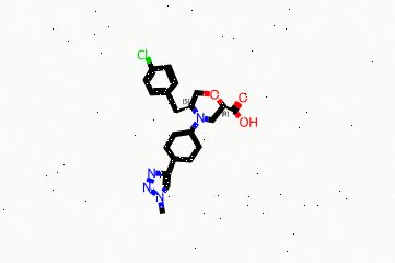 Cn1cc(C2CCC(N3C[C@H](C(=O)O)OC[C@@H]3Cc3ccc(Cl)cc3)CC2)nn1